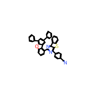 N#Cc1ccc(-c2nc(-c3cccc4oc5c(-c6ccccc6)cc(-c6ccccc6)cc5c34)nc3c2sc2ccccc23)cc1